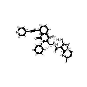 Cc1ccn2nc(N)c(C(=O)N[C@H](C)c3c(Br)c4cccc(C#Cc5ccncc5)c4c(=O)n3-c3ccccc3)c2n1